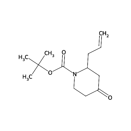 C=CCC1CC(=O)CCN1C(=O)OC(C)(C)C